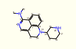 CN(C)c1ncc2c3c(cccc13)N(C1CCCNC1)CC2